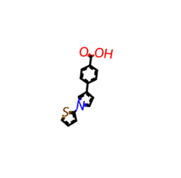 O=C(O)c1ccc(-c2ccn(-c3cccs3)c2)cc1